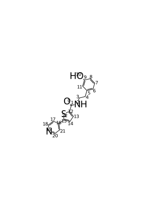 O=C(NCCc1cccc(O)c1)c1ccc(-c2ccncc2)s1